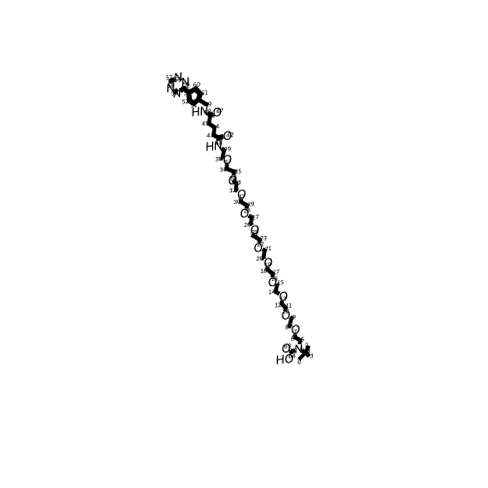 CC(C)(C)N(CCOCCOCCOCCOCCOCCOCCOCCOCCOCCOCCOCCNC(=O)CCCC(=O)NCc1ccc(-c2nncnn2)cc1)C(=O)O